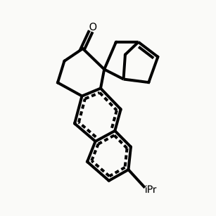 CC(C)c1ccc2cc3c(cc2c1)C1(CC2=CCC1C2)C(=O)CC3